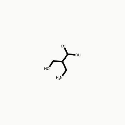 CCC(O)C(CN)CO